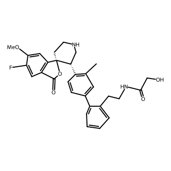 COc1cc2c(cc1F)C(=O)O[C@@]21CCNC[C@@H]1c1ccc(-c2ccccc2CCNC(=O)CO)cc1C